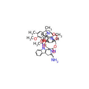 COc1c(C)cc2c(c1O)[C@H]1C3[C@@H]4SC[C@]5(N[C@@H](CN)Cc6c5[nH]c5ccccc65)C(=O)OC[C@@H](c5c6c(c(C)c(OC(C)=O)c54)OCO6)N3C3(C)CN1C2(C)C3